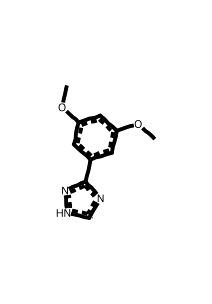 COc1cc(OC)cc(-c2n[c][nH]n2)c1